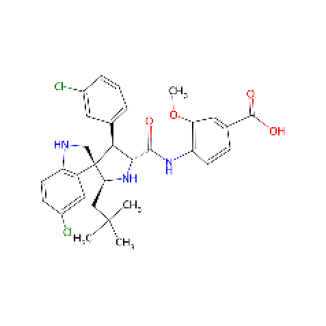 COc1cc(C(=O)O)ccc1NC(=O)[C@@H]1N[C@@H](CC(C)(C)C)[C@@]2(CNc3ccc(Cl)cc32)[C@H]1c1cccc(Cl)c1